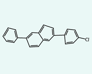 Clc1ccc(-c2ccc3cc(-c4ccccc4)ccc3c2)cc1